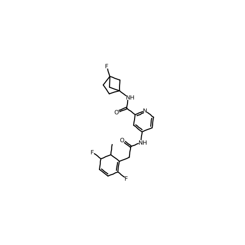 CC1C(CC(=O)Nc2ccnc(C(=O)NC34CCC(F)(C3)C4)c2)=C(F)C=CC1F